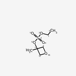 CCOS(=O)(=O)OC1(C)COC1